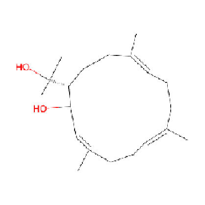 C/C1=C/C(O)[C@H](C(C)(C)O)CC/C(C)=C/CC/C(C)=C/CC1